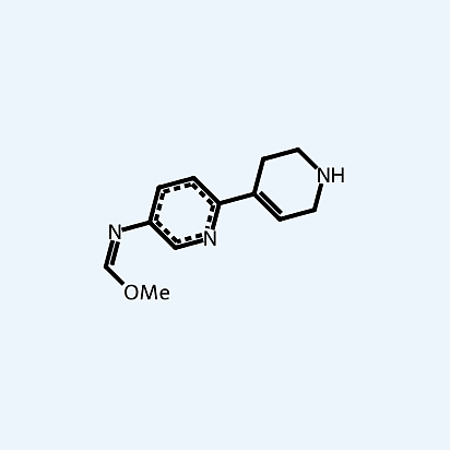 CO/C=N\c1ccc(C2=CCNCC2)nc1